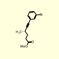 COC(=O)CC[C@H](C)C#Cc1cccc(Br)c1